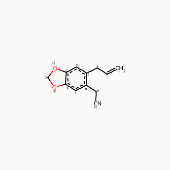 C=CCc1cc2c(cc1CC#N)OCO2